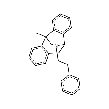 CC12CN(CCc3ccccc3)C(Cc3ccccc31)c1ccccc12